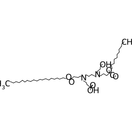 CCCCCCCCCCCCCCCCCCCCCOC(=O)CCCN(CCCCN(CCCO)CCCC(=C=O)OCCCCCCCCCCC)CCCC(=O)O